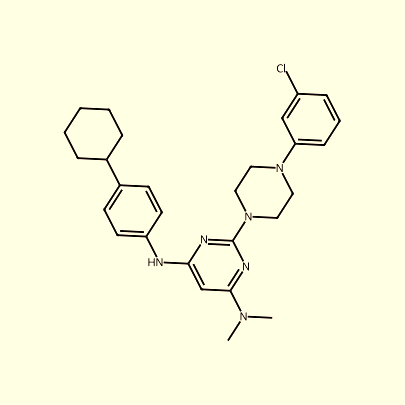 CN(C)c1cc(Nc2ccc(C3CCCCC3)cc2)nc(N2CCN(c3cccc(Cl)c3)CC2)n1